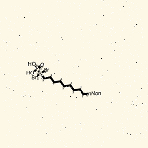 CCCCCCCCCCCCCCCCCCS(Br)(Br)P(=O)(O)O